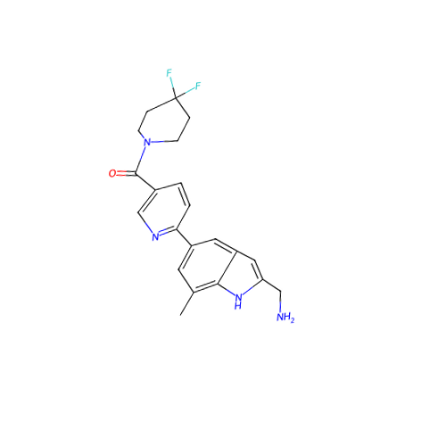 Cc1cc(-c2ccc(C(=O)N3CCC(F)(F)CC3)cn2)cc2cc(CN)[nH]c12